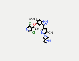 COc1cc2[nH]nc(-c3cnc(N4CC5(CCN5)C4)c(C#N)c3)c2cc1O[C@H](C)c1c(Cl)cncc1Cl